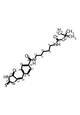 CC(C)(C)OC(=O)NCCCCCNC(=O)c1ccc(C=C2SC(=S)NC2=O)cc1